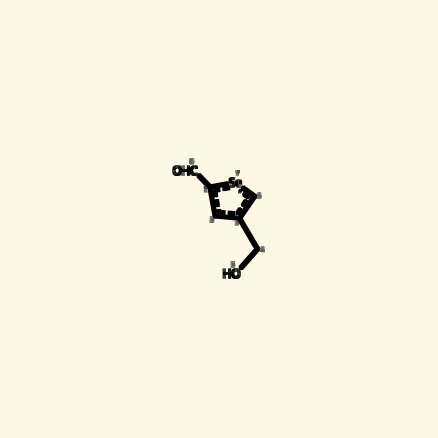 O=Cc1cc(CO)c[se]1